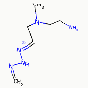 C=NN/N=C/CN(C)CCN